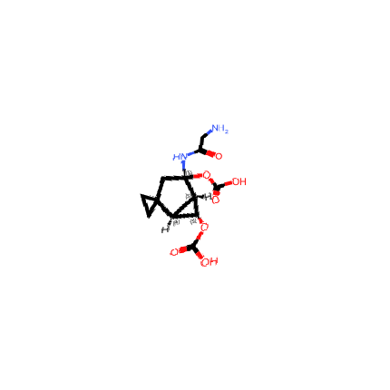 NCC(=O)N[C@]1(OC(=O)O)CC2(CC2)[C@@H]2[C@H](OC(=O)O)[C@H]21